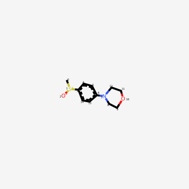 C[S+]([O-])c1ccc(N2CCOCC2)cc1